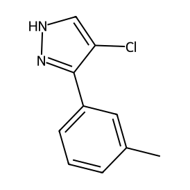 Cc1cccc(-c2n[nH]cc2Cl)c1